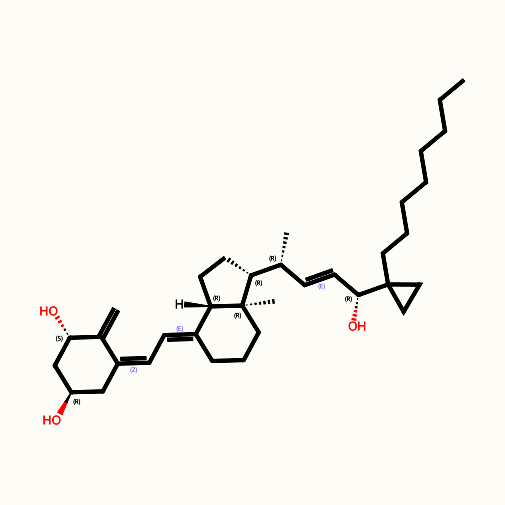 C=C1/C(=C\C=C2/CCC[C@]3(C)[C@@H]([C@H](C)/C=C/[C@@H](O)C4(CCCCCCCC)CC4)CC[C@@H]23)C[C@@H](O)C[C@@H]1O